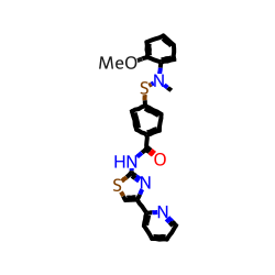 COc1ccccc1N(C)Sc1ccc(C(=O)Nc2nc(-c3ccccn3)cs2)cc1